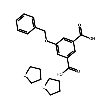 C1CCOC1.C1CCOC1.O=C(O)c1cc(OCc2ccccc2)cc(C(=O)O)c1